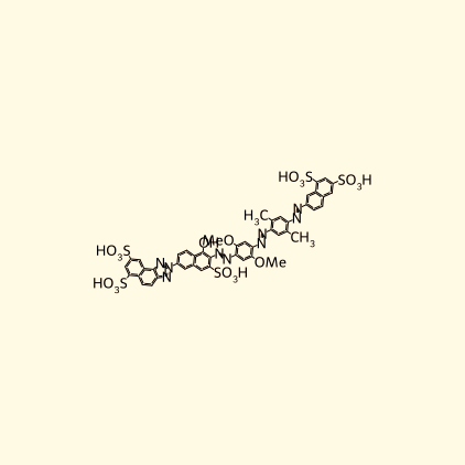 COc1cc(N=Nc2c(S(=O)(=O)O)cc3cc(-n4nc5ccc6c(S(=O)(=O)O)cc(S(=O)(=O)O)cc6c5n4)ccc3c2O)c(OC)cc1N=Nc1cc(C)c(N=Nc2ccc3cc(S(=O)(=O)O)cc(S(=O)(=O)O)c3c2)cc1C